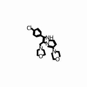 Clc1ccc(C2=C(CN3CCOCC3)N3C=C(N4CCOCC4)C=CC3N2)cc1